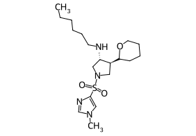 CCCCCCN[C@H]1CN(S(=O)(=O)c2cn(C)cn2)C[C@@H]1C1CCCCO1